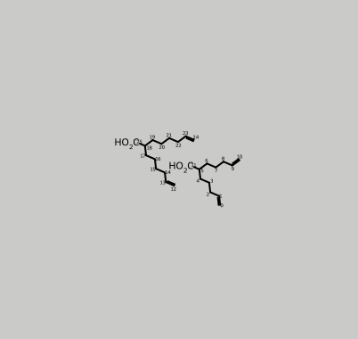 C=CCCCC(CCCC=C)C(=O)O.C=CCCCCC(CCCCC=C)C(=O)O